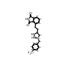 O=C1NC(=O)c2c(CCC3CN(Cc4ccc(C(F)(F)F)cc4)NN3)cccc21